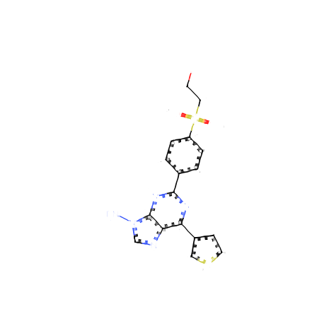 Nn1cnc2c(-c3ccsc3)nc(-c3ccc(S(=O)(=O)CCO)cc3)nc21